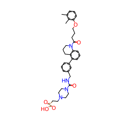 Cc1cccc(OCCCC(=O)N2CCCc3c(-c4cccc(CNC(=O)N5CCN(CCS(=O)(=O)O)CC5)c4)cccc32)c1C